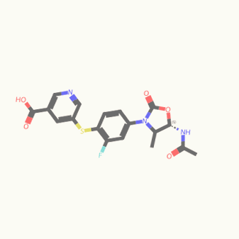 CC(=O)N[C@H]1OC(=O)N(c2ccc(Sc3cncc(C(=O)O)c3)c(F)c2)C1C